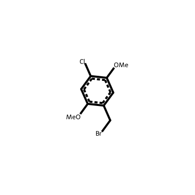 COc1cc(CBr)c(OC)cc1Cl